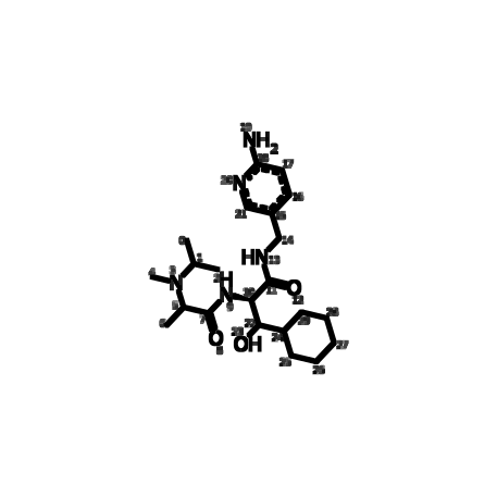 CC(C)N(C)C(C)C(=O)N[C@@H](C(=O)NCc1ccc(N)nc1)C(O)C1CCCCC1